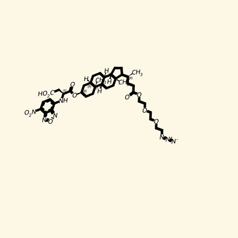 C[C@H](CCC(=O)OCCOCCOCCN=[N+]=[N-])C1CC[C@H]2[C@@H]3CC[C@@H]4C[C@H](OC(=O)[C@H](CC(=O)O)Nc5ccc([N+](=O)[O-])c6nonc56)CC[C@]4(C)[C@H]3CC[C@]12C